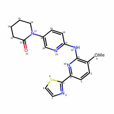 COc1ccc(-c2nccs2)nc1Nc1ccc(N2CCCCC2=O)cn1